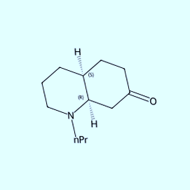 CCCN1CCC[C@H]2CCC(=O)C[C@H]21